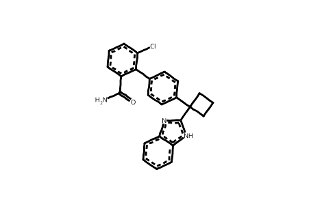 NC(=O)c1cccc(Cl)c1-c1ccc(C2(c3nc4ccccc4[nH]3)CCC2)cc1